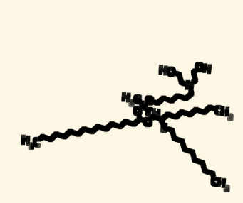 CCCCCCCCCCCCCCCC(OCC(CCCCCCCC)SCCCCCCCCCC)O[Si](C)(C)OCCCCCCN(CCO)CCO